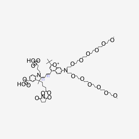 COCCOCCOCCOCCOCCOCCN(CCOCCOCCOCCOCCOCCOC)c1ccc2c(/C=C/C=C3\N(CCCS(=O)(=O)O)c4ccc(S(=O)(=O)O)cc4C3(C)CCCC(=O)ON3C(=O)CCC3=O)cc(C(C)(C)C)[o+]c2c1